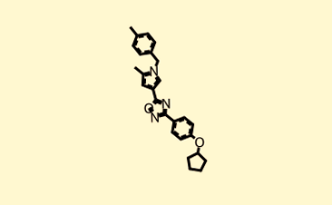 Cc1ccc(Cn2cc(-c3nc(-c4ccc(OC5CCCC5)cc4)no3)cc2C)cc1